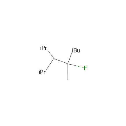 CCC(C)C(C)(F)C(C(C)C)C(C)C